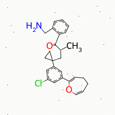 CC(CC1(c2cc(Cl)cc(C3=CCCC=CO3)c2)CC1)C(=O)c1ccccc1CN